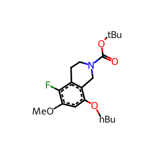 CCCCOc1cc(OC)c(F)c2c1CN(C(=O)OC(C)(C)C)CC2